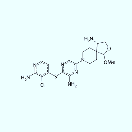 COC1OC[C@@H](N)C12CCN(c1cnc(Sc3ccnc(N)c3Cl)c(N)n1)CC2